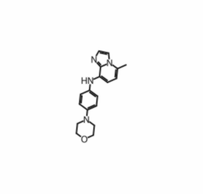 Cc1ccc(Nc2ccc(N3CCOCC3)cc2)c2nccn12